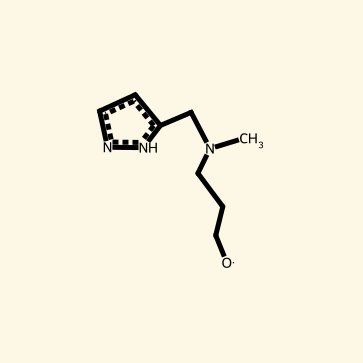 CN(CCC[O])Cc1ccn[nH]1